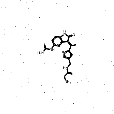 CC(=C1C(=O)Nc2ccc(NC(N)=O)cc21)c1cc(CNC(=O)CN)c[nH]1